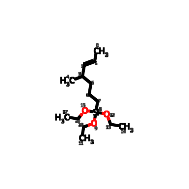 CC=CC(C)CCC[Si](OCC)(OCC)OCC